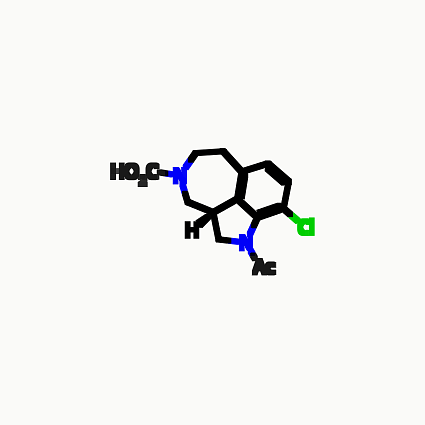 CC(=O)N1C[C@@H]2CN(C(=O)O)CCc3ccc(Cl)c1c32